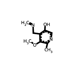 C=NCc1c(O)cnc(C)c1OC